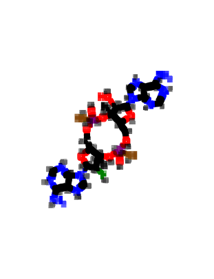 Nc1ncnc2c1ncn2[C@@H]1OC2CO[P@@](=O)(S)O[C@@H]3C(CO[P@@](=O)(S)O[C@H]2[C@H]1O)O[C@@H](n1cnc2c(N)ncnc21)[C@@H]3F